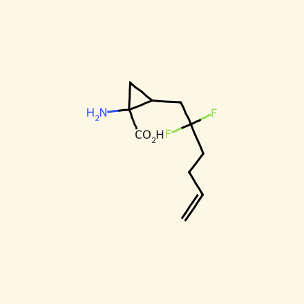 C=CCCC(F)(F)CC1CC1(N)C(=O)O